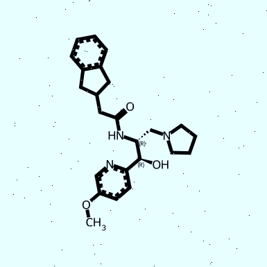 COc1ccc([C@H](O)[C@@H](CN2CCCC2)NC(=O)CC2Cc3ccccc3C2)nc1